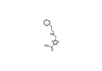 O=C(O)c1coc(CNCCCc2ccccc2)n1